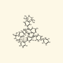 Cc1cc2c3c(c1)N(c1ccc4c(c1)C(C)(C)CCC4(C)C)c1sc4cc5c(cc4c1B3c1cc(-c3ccccc3)ccc1N2c1ccc(-c2ccccc2)cc1)C(C)(C)CCC5(C)C